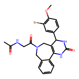 COc1ccc(C2NC(=O)NC3=C2CN(C(=O)CNC(C)=O)Cc2ccccc23)cc1Br